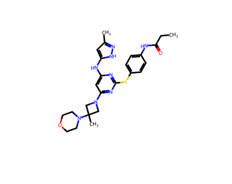 CCC(=O)Nc1ccc(Sc2nc(Nc3cc(C)n[nH]3)cc(N3CC(C)(N4CCOCC4)C3)n2)cc1